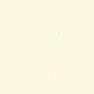 FC(F)=Cc1c[c]oc1